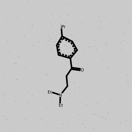 CCN(CC)CCC(=O)c1ccc(C(C)C)cc1